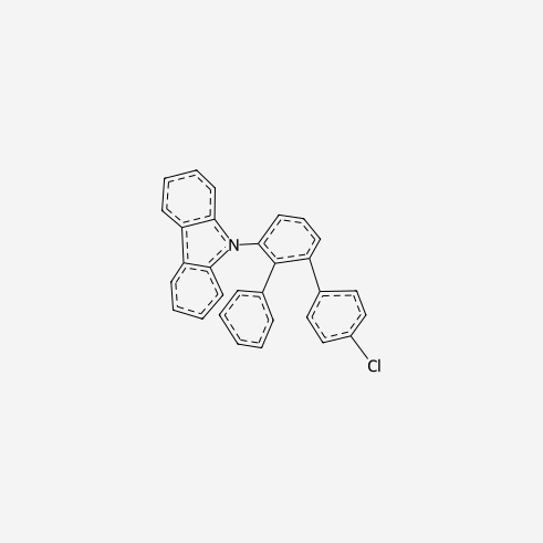 Clc1ccc(-c2cccc(-n3c4ccccc4c4ccccc43)c2-c2ccccc2)cc1